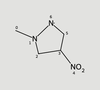 CN1CC([N+](=O)[O-])C[N]1